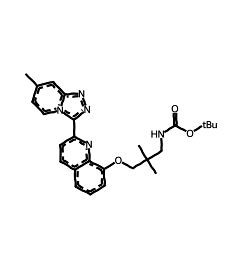 Cc1ccn2c(-c3ccc4cccc(OCC(C)(C)CNC(=O)OC(C)(C)C)c4n3)nnc2c1